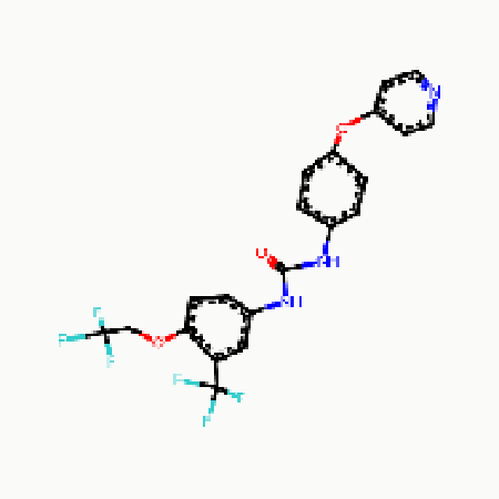 O=C(Nc1ccc(Oc2ccncc2)cc1)Nc1ccc(OCC(F)(F)F)c(C(F)(F)F)c1